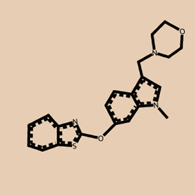 Cn1cc(CN2CCOCC2)c2ccc(Oc3nc4ccccc4s3)cc21